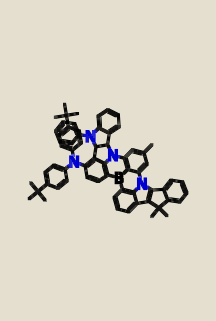 Cc1cc2c3c(c1)-n1c4c(c5cccc(c51)B3c1ccc(N(c3ccc(C(C)(C)C)cc3)c3ccc(C(C)(C)C)cc3)c3c1N2C1c2ccccc2N(c2ccccc2)C31)C(C)(C)c1ccccc1-4